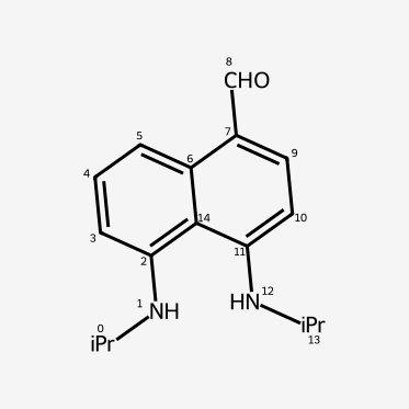 CC(C)Nc1cccc2c(C=O)ccc(NC(C)C)c12